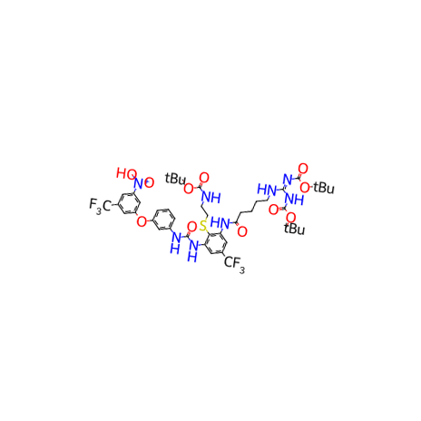 CC(C)(C)OC(=O)N=C(NCCCCC(=O)Nc1cc(C(F)(F)F)cc(NC(=O)Nc2cccc(Oc3cc([N+](=O)O)cc(C(F)(F)F)c3)c2)c1SCCNC(=O)OC(C)(C)C)NC(=O)OC(C)(C)C